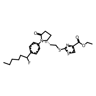 CCCCCC(F)c1ccc(N2C(=O)CC[C@@H]2CCSc2nc(C(=O)OCC)cs2)cc1